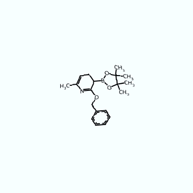 CC1=CCC(B2OC(C)(C)C(C)(C)O2)C(OCc2ccccc2)=N1